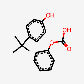 CC(C)(C)c1ccc(O)cc1.O=C(O)Oc1ccccc1